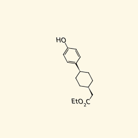 CCOC(=O)C[C@H]1CC[C@@H](c2ccc(O)cc2)CC1